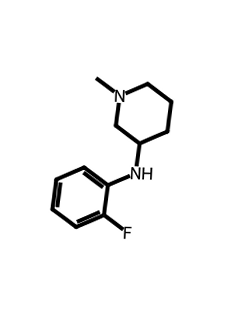 CN1CCCC(Nc2ccccc2F)C1